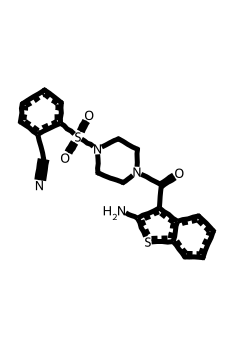 N#Cc1ccccc1S(=O)(=O)N1CCN(C(=O)c2c(N)sc3ccccc23)CC1